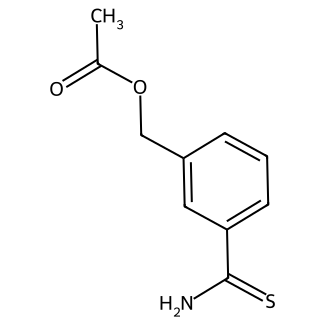 CC(=O)OCc1cccc(C(N)=S)c1